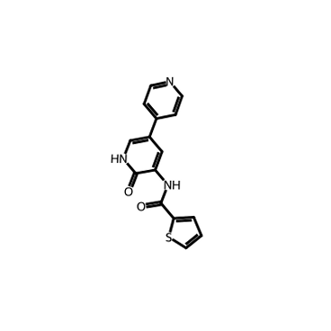 O=C(Nc1cc(-c2ccncc2)c[nH]c1=O)c1cccs1